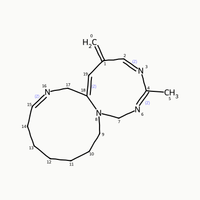 C=C1/C=N\C(C)=N/CN2CCCCCC/C=N\C/C2=C/1